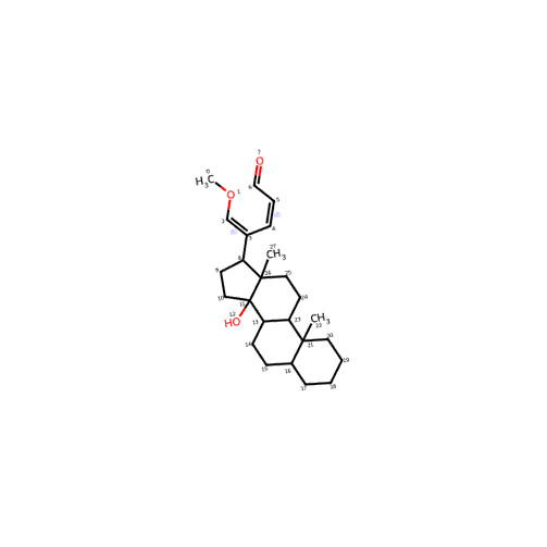 CO/C=C(\C=C/C=O)C1CCC2(O)C3CCC4CCCCC4(C)C3CCC12C